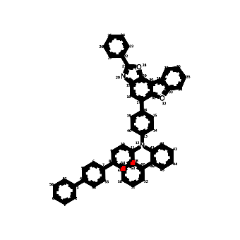 c1ccc(-c2ccc(-c3ccc(N(c4ccc(-c5cc6nc(-c7ccccc7)oc6c6c5oc5ccccc56)cc4)c4ccccc4-c4ccccc4)cc3)cc2)cc1